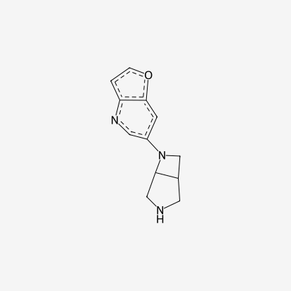 c1cc2ncc(N3CC4CNCC43)cc2o1